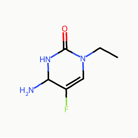 CCN1C=C(F)C(N)NC1=O